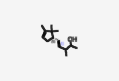 CC1=CC[C@@H](/C=C/C(C)C(C)O)C1(C)C